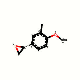 CCCCOc1ccc([C@@H]2CO2)cc1C